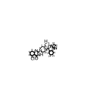 CC1CCN(c2nc3cccc(Cl)c3c(=O)[nH]2)CCN1C(=O)c1ccccc1-n1nccn1